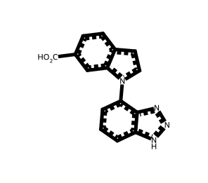 O=C(O)c1ccc2ccn(-c3cccc4[nH]nnc34)c2c1